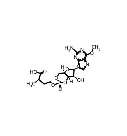 COc1nc(N)nc2c1ncn2[C@@H]1O[C@@H]2COP(=O)(OCC[C@@H](C)C(=O)O)O[C@H]2[C@@H]1O